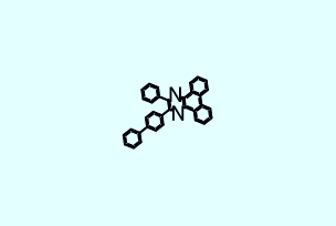 c1ccc(-c2ccc(-c3nc4c5ccccc5c5ccccc5c4nc3-c3ccccc3)cc2)cc1